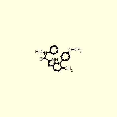 C=C1C=Cc2cc(C(=O)N(C)c3ccccc3)[nH]c2N1c1ccc(OC(F)(F)F)cc1